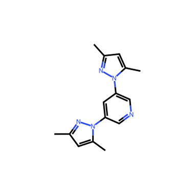 Cc1cc(C)n(-c2cncc(-n3nc(C)cc3C)c2)n1